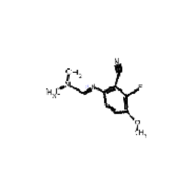 COc1ccc(/N=C/N(C)C)c(C#N)c1F